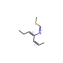 C\C=C/C(=C\CC)/N=C\SC